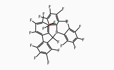 Fc1c(F)c(F)c(B(c2c(F)c(F)c(F)c(F)c2F)C2(F)c3c(F)c(F)c(F)c(F)c3-c3c(F)c(F)c(F)c(F)c32)c(F)c1F